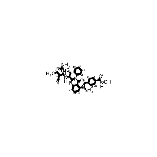 CCC(Nc1nc(N)nc(C)c1C#N)c1nc2cccc(N(C)Cc3ccc(C(=O)NO)cc3)c2c(=O)n1-c1ccccc1